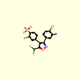 Cc1cc(-c2noc(C(F)F)c2-c2ccc(S(C)(=O)=O)c(F)c2)ccc1Cl